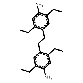 CCc1cc(CCc2cc(CC)c(N)cc2CC)c(CC)cc1N